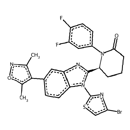 Cc1noc(C)c1-c1ccc2c(c1)nc([C@@H]1CCCC(=O)N1c1ccc(F)c(F)c1)n2-c1nc(Br)cs1